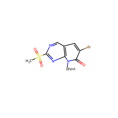 CCCCCn1c(=O)c(Br)cc2cnc(S(C)(=O)=O)nc21